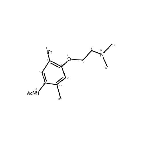 CC(=O)Nc1cc(C(C)C)c(OCCN(C)C)cc1C